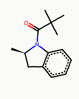 C[C@@H]1Cc2ccccc2N1C(=O)C(C)(C)C